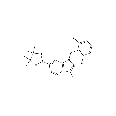 Cc1nn(Cc2c(Cl)cccc2Br)c2cc(B3OC(C)(C)C(C)(C)O3)ccc12